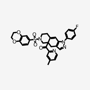 Cc1ccnc(C(=O)C23Cc4cnn(-c5ccc(F)cc5)c4C=C2CCN(S(=O)(=O)c2ccc4c(c2)OCCO4)C3)c1